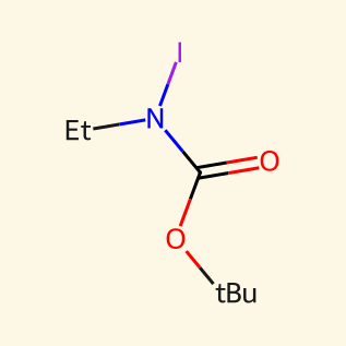 CCN(I)C(=O)OC(C)(C)C